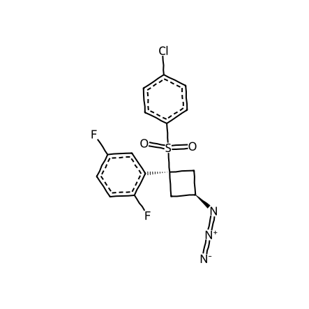 [N-]=[N+]=N[C@H]1C[C@@](c2cc(F)ccc2F)(S(=O)(=O)c2ccc(Cl)cc2)C1